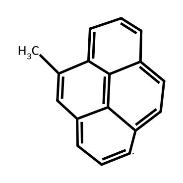 Cc1cc2cc[c]c3ccc4cccc1c4c32